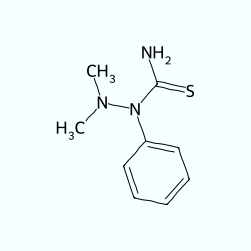 CN(C)N(C(N)=S)c1ccccc1